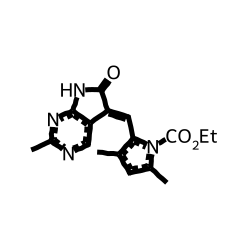 CCOC(=O)n1c(C)cc(C)c1C=C1C(=O)Nc2nc(C)ncc21